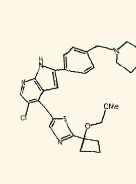 COCOC1(c2ncc(-c3c(Cl)cnc4[nH]c(-c5ccc(CN6CCOCC6)cc5)cc34)s2)CCC1